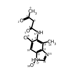 CC(=O)CC(=O)Nc1c(Cl)cc2c(c1C)N=C[NH+]2[O-]